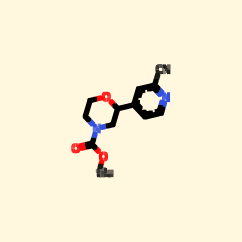 CC(C)(C)OC(=O)N1CCOC(c2ccnc(C#N)c2)C1